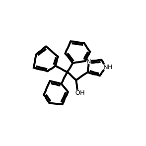 OC(c1c[nH]cn1)C(c1ccccc1)(c1ccccc1)c1ccccc1